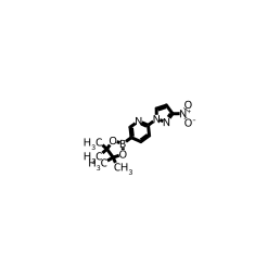 CC1(C)OB(c2ccc(-n3ccc([N+](=O)[O-])n3)nc2)OC1(C)C